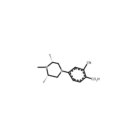 C[C@@H]1CN(c2ccc(C(=O)O)c(C#N)c2)C[C@H](C)N1C